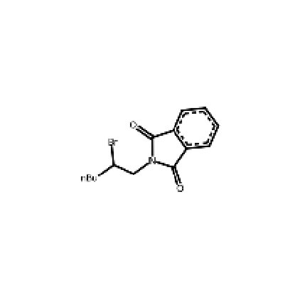 CCCCC(Br)CN1C(=O)c2ccccc2C1=O